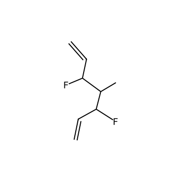 C=CC(F)C(C)C(F)C=C